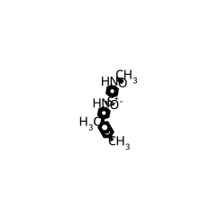 CC(=O)Nc1ccc([S+]([O-])Nc2ccc(C3(C)CC4CC(C)CC(C4)C3)cc2)cc1